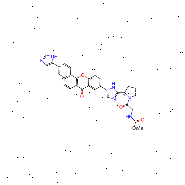 COC(=O)NCC(=O)N1CCC[C@@H]1c1ncc(-c2ccc3oc4c(ccc5cc(-c6cnc[nH]6)ccc54)c(=O)c3c2)[nH]1